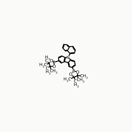 CC1(C)OB(c2ccc3c(c2)c2cc(B4OC(C)(C)C(C)(C)O4)ccc2n3-c2cccc3ccccc23)OC1(C)C